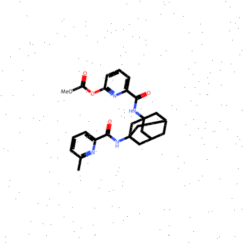 COC(=O)Oc1cccc(C(=O)NC23CC4CC(CC(NC(=O)c5cccc(C)n5)(C4)C2)C3)n1